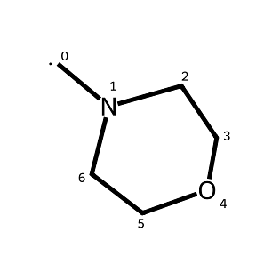 [CH2]N1CCOCC1